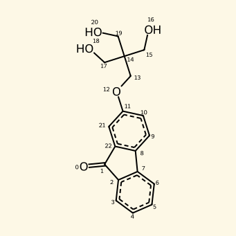 O=C1c2ccccc2-c2ccc(OCC(CO)(CO)CO)cc21